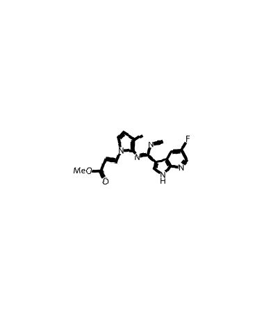 C=N/C(=N\c1c(C)ccn1/C=C/C(=O)OC)c1c[nH]c2ncc(F)cc12